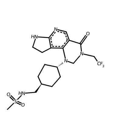 CS(=O)(=O)NC[C@H]1CC[C@H](N2CN(CC(F)(F)F)C(=O)c3cnc4c(c32)CCN4)CC1